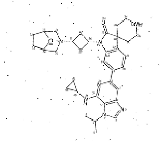 CC(C)n1cnc2cc(-c3ccc4c(c3)N([C@H]3C[C@@H](N5CC6CCC(C5)O6)C3)C(=O)C43CCNCC3)nc(NC3CC3)c21